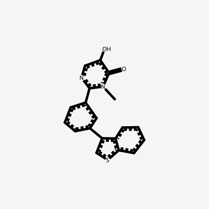 Cn1c(-c2cccc(-c3csc4ccccc34)c2)ncc(O)c1=O